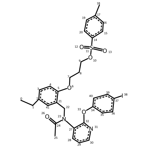 CCc1ccc(OCCCOS(=O)(=O)c2ccc(C)cc2)c(CN(C(C)=O)c2cccnc2Oc2ccc(I)cc2)c1